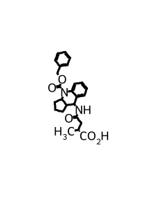 C[C@H](CC(=O)NC1c2ccccc2N(C(=O)OCc2ccccc2)C2CCCC12)C(=O)O